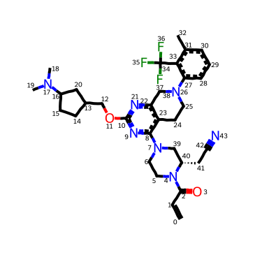 C=CC(=O)N1CCN(c2nc(OCC3CCC(N(C)C)C3)nc3c2CCN(c2cccc(C)c2C(F)(F)F)C3)C[C@@H]1CC#N